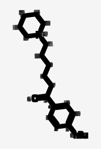 CCCCc1ccc(C(=O)CCCCCN2CC[CH]CC2)cc1